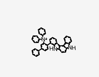 C[N+](c1ccccc1)(c1ccccc1)c1cc(-c2ccccc2)ccc1-c1cccc2c1[nH]c1ccc3[nH]c4ccccc4c3c12